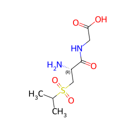 CC(C)S(=O)(=O)C[C@H](N)C(=O)NCC(=O)O